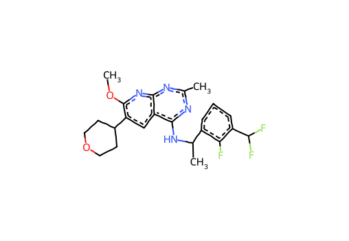 COc1nc2nc(C)nc(NC(C)c3cccc(C(F)F)c3F)c2cc1C1CCOCC1